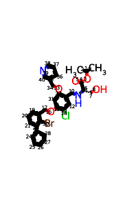 CC(C)OC(=O)[C@H](CO)NCc1cc(Cl)c(OCc2cccc(-c3ccccc3)c2Br)cc1OCc1cccnc1